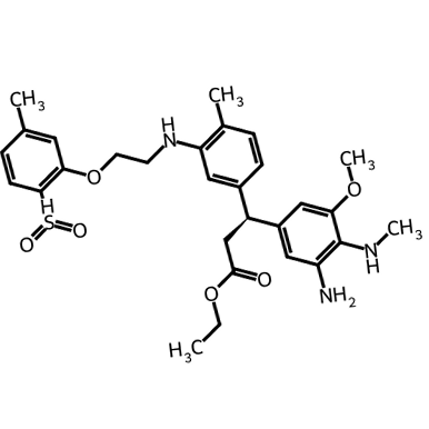 CCOC(=O)C[C@@H](c1ccc(C)c(NCCOc2cc(C)ccc2[SH](=O)=O)c1)c1cc(N)c(NC)c(OC)c1